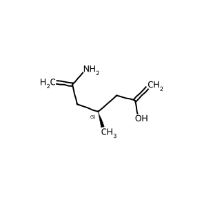 C=C(N)C[C@H](C)CC(=C)O